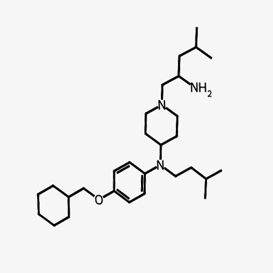 CC(C)CCN(c1ccc(OCC2CCCCC2)cc1)C1CCN(CC(N)CC(C)C)CC1